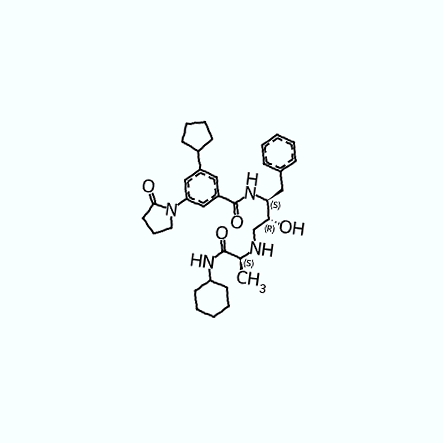 C[C@H](NC[C@@H](O)[C@H](Cc1ccccc1)NC(=O)c1cc(C2CCCC2)cc(N2CCCC2=O)c1)C(=O)NC1CCCCC1